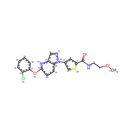 COCCNC(=O)c1cc(-n2ncc3nc(Oc4ccccc4Cl)ccc32)cs1